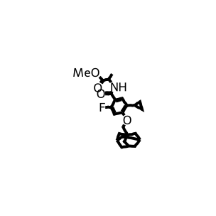 COC(=O)C(C)NC(=O)c1cc(C2CC2)c(OCC23CC4CC(CC(C4)C2)C3)cc1F